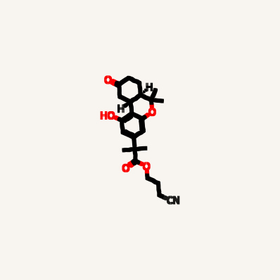 CC(C)(C(=O)OCCCC#N)c1cc(O)c2c(c1)OC(C)(C)[C@@H]1CCC(=O)C[C@@H]21